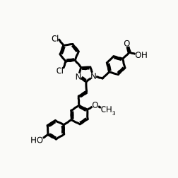 COc1ccc(-c2ccc(O)cc2)cc1C=Cc1nc(-c2ccc(Cl)cc2Cl)cn1Cc1ccc(C(=O)O)cc1